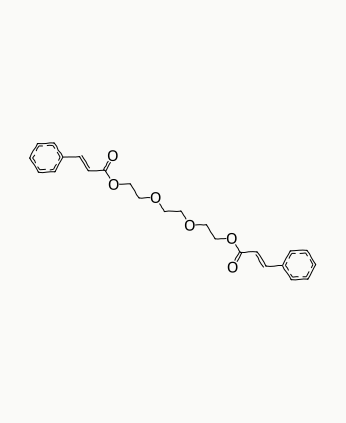 O=C(C=Cc1ccccc1)OCCOCCOCCOC(=O)C=Cc1ccccc1